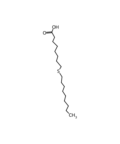 CCCCCCCCCSCCCCCCCC(=O)O